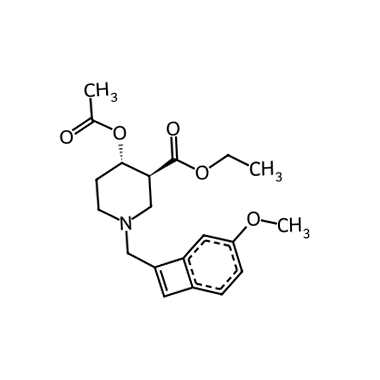 CCOC(=O)[C@H]1CN(CC2=Cc3ccc(OC)cc32)CC[C@@H]1OC(C)=O